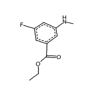 CCOC(=O)c1cc(F)cc(NC)c1